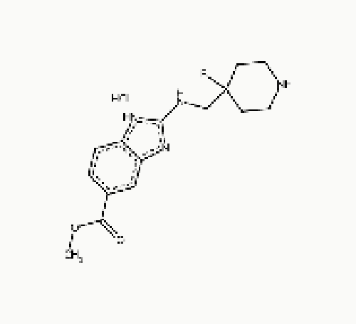 COC(=O)c1ccc2[nH]c(NCC3(F)CCNCC3)nc2c1.Cl